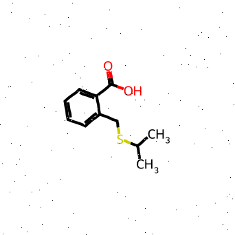 CC(C)SCc1ccccc1C(=O)O